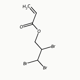 C=CC(=O)OCC(Br)C(Br)Br